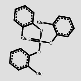 CC(C)(C)c1ccccc1OP(=S)(Oc1ccccc1C(C)(C)C)Oc1ccccc1C(C)(C)C